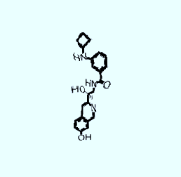 O=C(NC[C@@H](O)C1Cc2ccc(O)cc2C=N1)c1cccc(NC2CCC2)c1